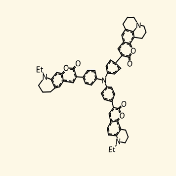 CCN1CCCc2cc3cc(-c4ccc(N(c5ccc(-c6cc7ccc8c(c7oc6=O)CCCN8CC)cc5)c5ccc(-c6cc7cc8c9c(c7oc6=O)CCCN9CCC8)cc5)cc4)c(=O)oc3cc21